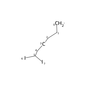 [CH2]CCCCC(I)I